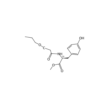 CCCOCCC(=O)N[C@@H](Cc1ccc(O)cc1)C(=O)OC